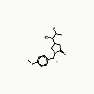 COc1ccc([C@@H](C)N2CC(C(O)C(F)F)CC2=O)cc1